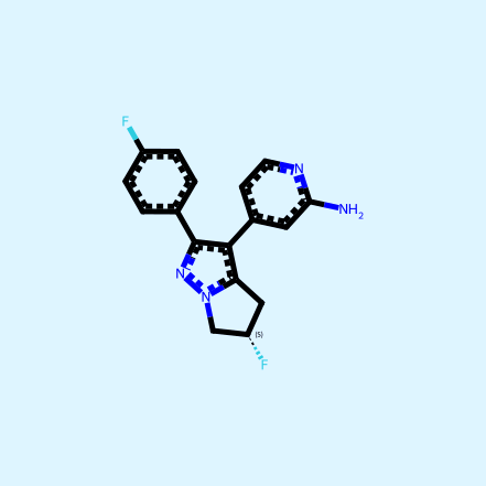 Nc1cc(-c2c(-c3ccc(F)cc3)nn3c2C[C@H](F)C3)ccn1